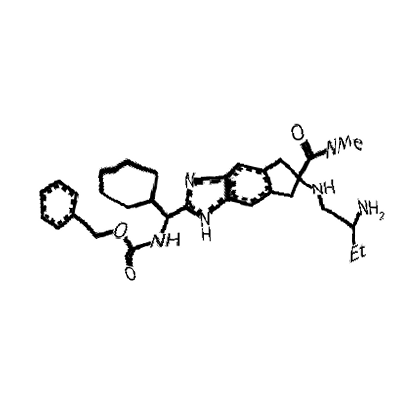 CCC(N)CNC1(C(=O)NC)Cc2cc3nc(C(NC(=O)OCc4ccccc4)C4CCCCC4)[nH]c3cc2C1